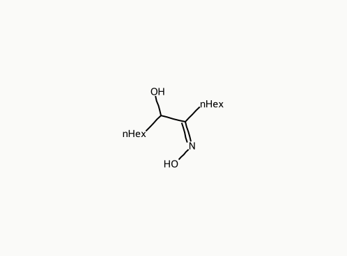 CCCCCCC(=NO)C(O)CCCCCC